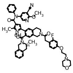 COc1ncc(N(C(=O)c2cc(-c3cc4c(cc3C(=O)N3Cc5ccccc5C[C@H]3C)CN(C(=O)Cc3ccc(OCCN5CCOCC5)cc3F)CC4)n(C)c2C)c2ccccc2)cc1C#N